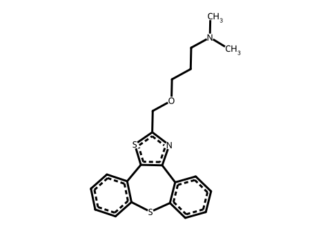 CN(C)CCCOCc1nc2c(s1)-c1ccccc1Sc1ccccc1-2